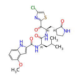 COc1cccc2[nH]c(C(=O)N[C@H](CC(C)C)C(=O)N[C@H](C[C@H]3CCNC3=O)C(=O)c3nc(Cl)cs3)cc12